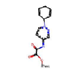 CCCCCOC(=O)C(=O)N=c1ccn(C2C=CCC=C2)nc1